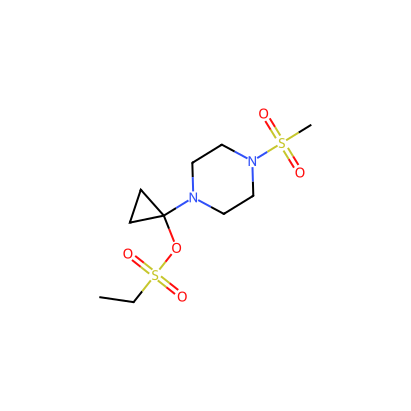 CCS(=O)(=O)OC1(N2CCN(S(C)(=O)=O)CC2)CC1